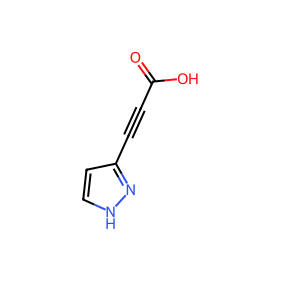 O=C(O)C#Cc1cc[nH]n1